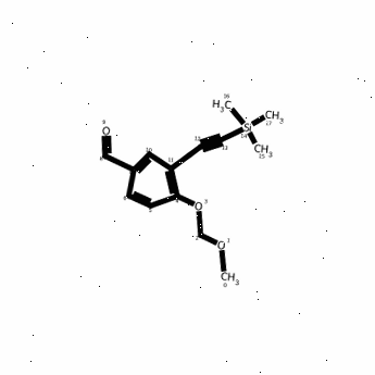 COCOc1ccc(C=O)cc1C#C[Si](C)(C)C